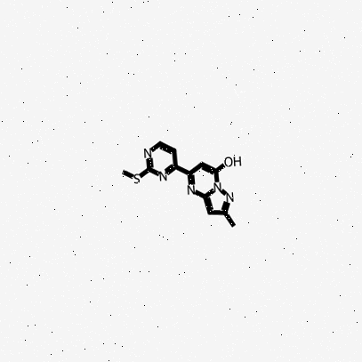 CSc1nccc(-c2cc(O)n3nc(C)cc3n2)n1